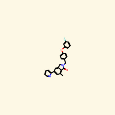 Cc1cc(-c2ccccn2)cc2c1C(=O)N(Cc1ccc(Oc3cccc(F)c3)cc1)C2